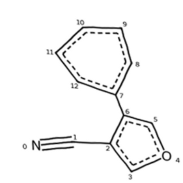 N#Cc1cocc1-c1ccccc1